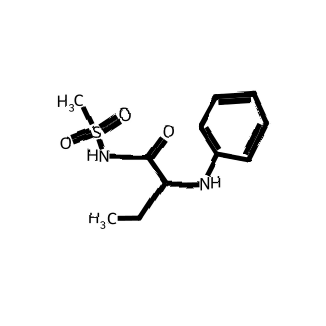 CCC(Nc1ccccc1)C(=O)NS(C)(=O)=O